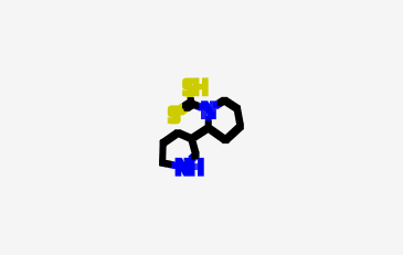 S=C(S)N1CCCCC1C1CCCNC1